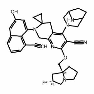 C#Cc1cccc2cc(O)cc(N3Cc4nc(OC[C@@]56CCCN5C[C@H](F)C6)c(C#N)c(N5CC6CCC(C5)N6)c4CC34CC4)c12